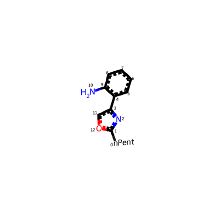 CCCCCc1nc(-c2ccccc2N)co1